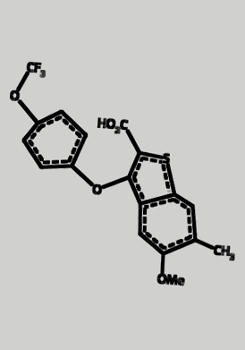 COc1cc2c(Oc3ccc(OC(F)(F)F)cc3)c(C(=O)O)sc2cc1C